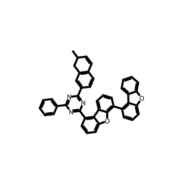 CC1C=Cc2ccc(-c3nc(-c4ccccc4)nc(-c4cccc5oc6c(-c7cccc8oc9ccccc9c78)cccc6c45)n3)cc2C1